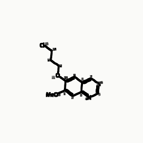 COc1cc2ncncc2cc1OCCCCl